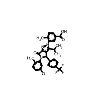 Cc1ccc(Cl)cc1N1C(=O)c2nn(-c3cc(C(=O)O)ccc3C)c(C(C)C)c2C1c1ccc(C(F)(F)F)cc1